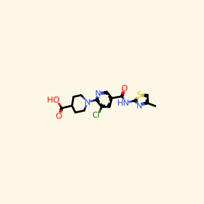 Cc1csc(NC(=O)c2cnc(N3CCC(C(=O)O)CC3)c(Cl)c2)n1